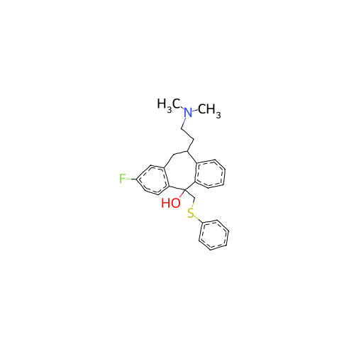 CN(C)CCC1Cc2cc(F)ccc2C(O)(CSc2ccccc2)c2ccccc21